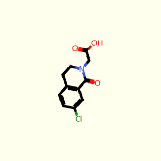 O=C(O)CN1CCc2ccc(Cl)cc2C1=O